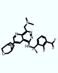 C[C@@H](Nc1nnc(CN(C)C)c2ncc(N3C4CCC3COC4)cc12)c1cccc(C(F)F)c1F